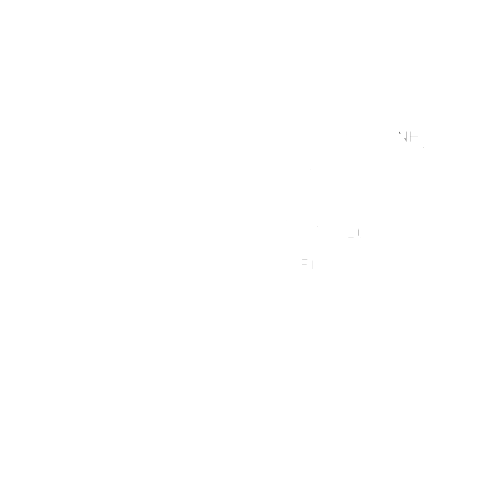 CCC1(CC)c2cc(N)ccc2-c2ccc(-c3ccc(-c4ccccc4)cc3)cc21